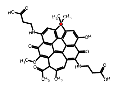 COc1c2c3c4c(c(NCCC(=O)O)c(=O)c5c(O)cc(OC)c(c6c(OC)cc(NCCC(=O)O)c(c1=O)c63)c54)C=C(C)C2C(C)=O